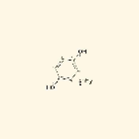 Oc1ccc(O)cc1.[SnH2]